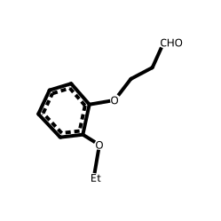 CCOc1ccccc1OCCC=O